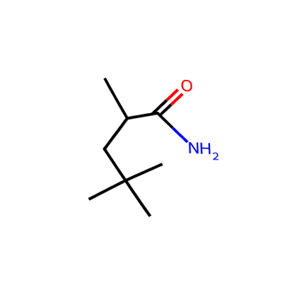 CC(CC(C)(C)C)C(N)=O